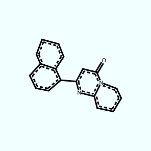 O=c1cc(-c2cccc3ccccc23)nc2ccccn12